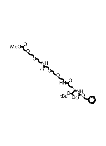 COC(=O)COCCOCCNC(=O)COCCOCCNC(=O)CC[C@H](NC(=O)OCc1ccccc1)C(=O)OC(C)(C)C